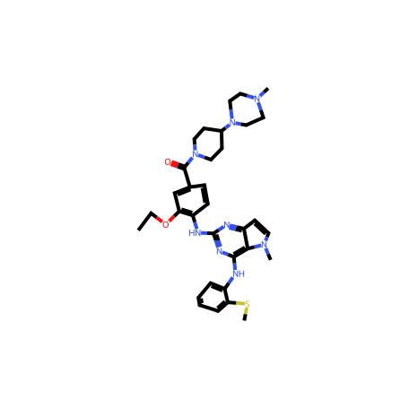 CCOc1cc(C(=O)N2CCC(N3CCN(C)CC3)CC2)ccc1Nc1nc(Nc2ccccc2SC)c2c(ccn2C)n1